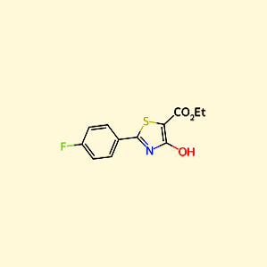 CCOC(=O)c1sc(-c2ccc(F)cc2)nc1O